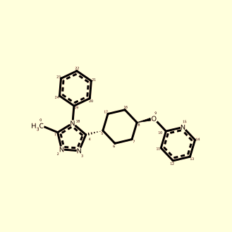 Cc1nnc([C@H]2CC[C@H](Oc3ccccn3)CC2)n1-c1ccccc1